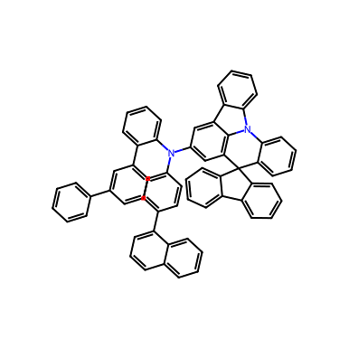 c1ccc(-c2cccc(-c3ccccc3N(c3ccc(-c4cccc5ccccc45)cc3)c3cc4c5c(c3)c3ccccc3n5-c3ccccc3C43c4ccccc4-c4ccccc43)c2)cc1